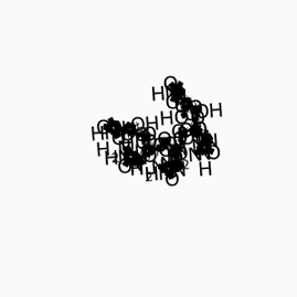 Cc1cn([C@H]2C[C@H](OP(=O)(O)OC[C@H]3O[C@@H](n4cnc5c(=O)[nH]c(N)nc54)C[C@@H]3OP(=O)(O)OC[C@H]3O[C@@H](n4cnc5c(=O)[nH]c(N)nc54)C[C@@H]3OP(=O)(O)OC[C@H]3O[C@@H](n4cnc5c(=O)[nH]c(N)nc54)C[C@@H]3OP(=O)(O)OC[C@H]3O[C@@H](n4cc(C)c(=O)[nH]c4=O)C[C@@H]3O)[C@@H](CO)O2)c(=O)[nH]c1=O